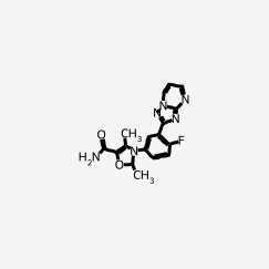 CC1=C(C(N)=O)OC(C)N1c1ccc(F)c(-c2nc3ncccn3n2)c1